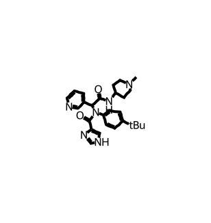 CN1CCC(NC(=O)C(c2cccnc2)N(C(=O)c2c[nH]cn2)c2ccc(C(C)(C)C)cc2)CC1